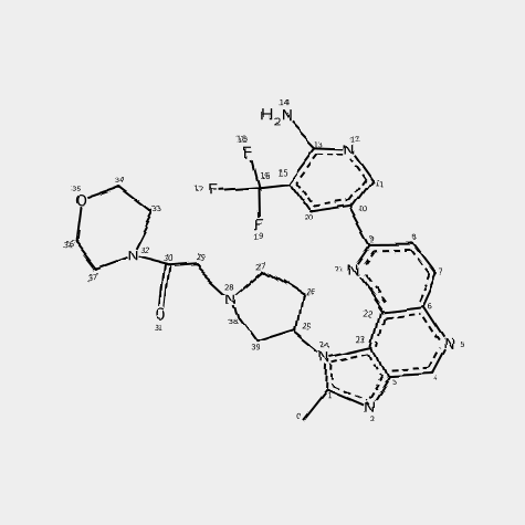 Cc1nc2cnc3ccc(-c4cnc(N)c(C(F)(F)F)c4)nc3c2n1C1CCN(CC(=O)N2CCOCC2)CC1